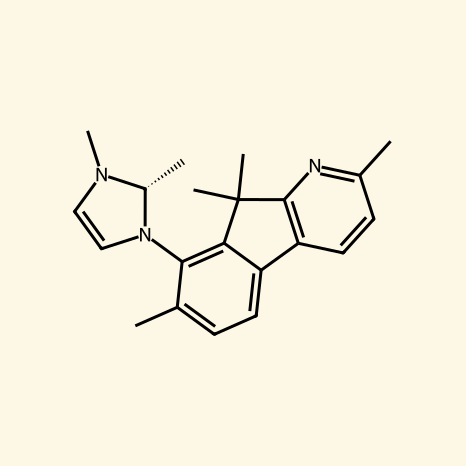 Cc1ccc2c(n1)C(C)(C)c1c-2ccc(C)c1N1C=CN(C)[C@@H]1C